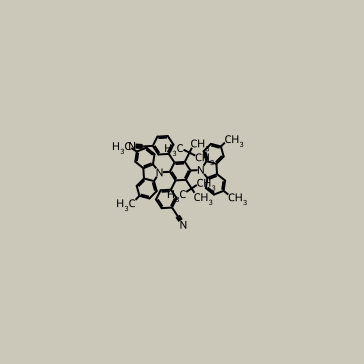 Cc1ccc2c(c1)c1cc(C)ccc1n2-c1c(-c2cccc(C#N)c2)c(C(C)(C)C)c(-n2c3ccc(C)cc3c3cc(C)ccc32)c(C(C)(C)C)c1-c1cccc(C#N)c1